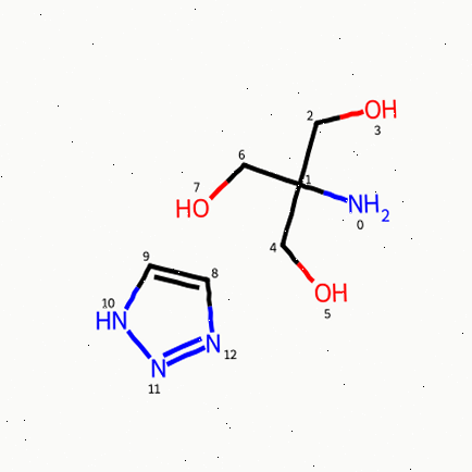 NC(CO)(CO)CO.c1c[nH]nn1